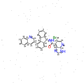 O=C(NC1c2ccccc2-c2c(-c3cnc4ccccc4c3)cccc21)c1c(Br)cnc2[nH]cnc12